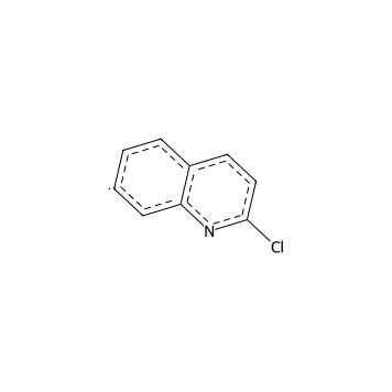 Clc1ccc2cc[c]cc2n1